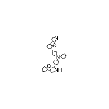 C1=Cc2c(oc3ccccc23)C(c2ccc(N(c3ccccc3)c3ccc(-c4cccc5c4oc4cnccc45)cc3)cc2)N1